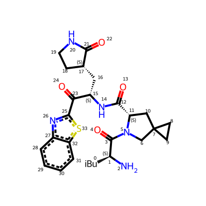 CCC(C)[C@H](N)C(=O)N1CC2(CC2)C[C@H]1C(=O)N[C@@H](C[C@@H]1CCNC1=O)C(=O)c1nc2ccccc2s1